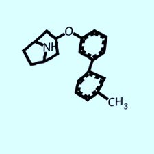 Cc1cccc(-c2cccc(OC3CC4CCC(C3)N4)c2)c1